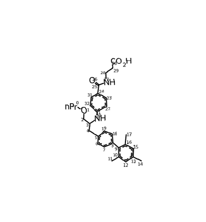 CCCOCC(Cc1ccc(-c2c(C)cc(C)cc2C)cc1)Nc1ccc(C(=O)NCCC(=O)O)cc1